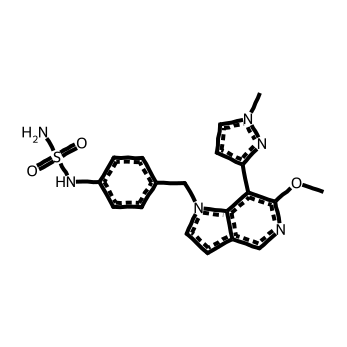 COc1ncc2ccn(Cc3ccc(NS(N)(=O)=O)cc3)c2c1-c1ccn(C)n1